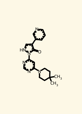 CC1(C)CCN(c2cc(-n3[nH]cc(-c4cccnc4)c3=O)ncn2)CC1